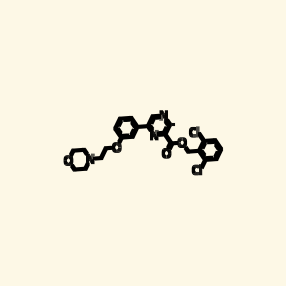 O=C(OCc1c(Cl)cccc1Cl)c1[c]ncc(-c2cccc(OCCN3CCOCC3)c2)n1